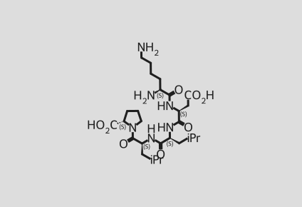 CC(C)C[C@H](NC(=O)[C@H](CC(=O)O)NC(=O)[C@@H](N)CCCCN)C(=O)N[C@@H](CC(C)C)C(=O)N1CCC[C@H]1C(=O)O